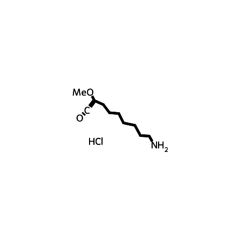 COC(=C=O)CCCCCCCN.Cl